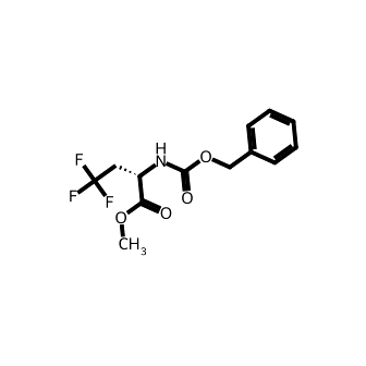 COC(=O)[C@H](CC(F)(F)F)NC(=O)OCc1ccccc1